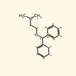 CN(C)CCOC(C1=CC=CCC1)c1ccccc1